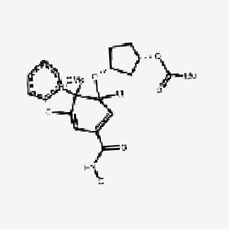 COC1([n+]2ccccc2)C(Cl)=CC(C(=O)N[O-])=CC1(Cl)O[C@@H]1CC[C@H](OC(=O)C(C)(C)C)C1